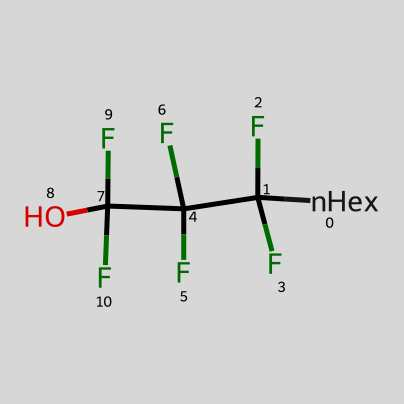 CCCCCCC(F)(F)C(F)(F)C(O)(F)F